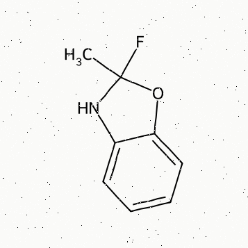 CC1(F)Nc2ccccc2O1